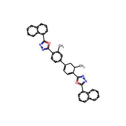 Cc1cc(C2=CC=C(c3nnc(-c4cccc5ccccc45)o3)C(C)C2)ccc1-c1nnc(-c2cccc3ccccc23)o1